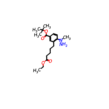 CCOC(=O)CCCCc1cc(C(=O)OC(C)(C)C)ccc1N(C)N